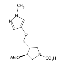 CO[C@@H]1CN(C(=O)O)C[C@H]1COc1cnn(C)c1